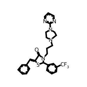 O=C1C(=Cc2ccccc2)SC(c2cccc(C(F)(F)F)c2)N1CCCN1CCN(c2ncccn2)CC1